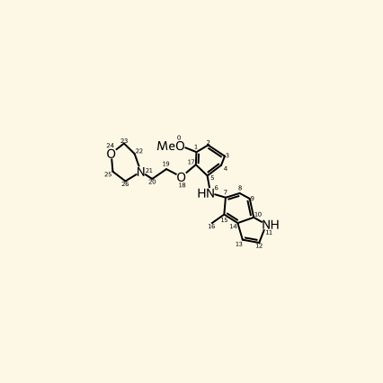 COc1cccc(Nc2ccc3[nH]ccc3c2C)c1OCCN1CCOCC1